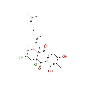 CC(C)=CCC/C(C)=C/CC12OC(C)(C)C(Cl)CC1(Cl)C(=O)c1c(cc(O)c(C)c1O)C2=O